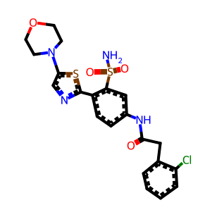 NS(=O)(=O)c1cc(NC(=O)Cc2ccccc2Cl)ccc1-c1ncc(N2CCOCC2)s1